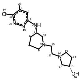 Cc1cc(N[C@@H]2CCCN(CCN3CC[C@H](O)C3)C2)nnc1Cl